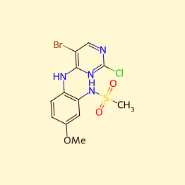 COc1ccc(Nc2nc(Cl)ncc2Br)c(NS(C)(=O)=O)c1